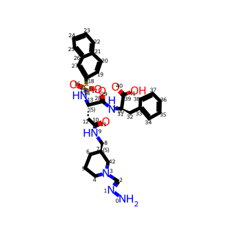 NN=CN1CCC[C@@H](CNC(=O)C[C@H](NS(=O)(=O)c2ccc3ccccc3c2)C(=O)N[C@H](Cc2ccccc2)C(=O)O)C1